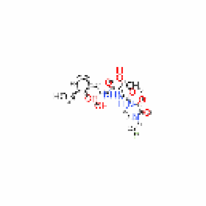 CC(O)C(NC(=O)N1CCN(CCF)C(=O)C1=O)C(=O)N[C@H]1Cc2cccc(C(=O)O)c2OB1O